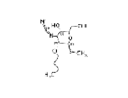 CCCCO[C@@H]1C(N=[N+]=[N-])[C@H](O)C(CO)O[C@H]1SC